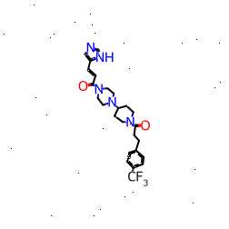 O=C(/C=C/c1cnc[nH]1)N1CCN(C2CCN(C(=O)CCc3ccc(C(F)(F)F)cc3)CC2)CC1